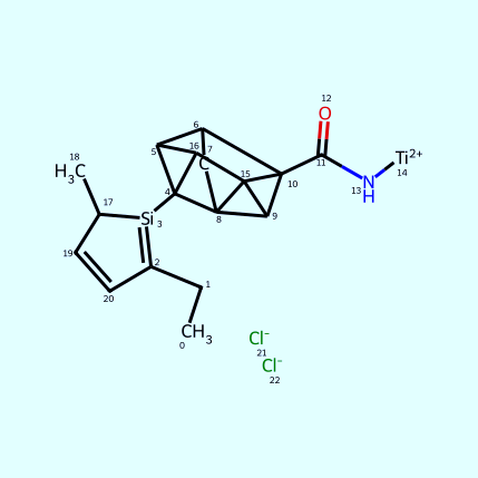 CCC1=[Si](C23C4C5CC26C2C5(C(=O)[NH][Ti+2])C26C43)C(C)C=C1.[Cl-].[Cl-]